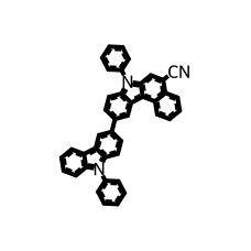 N#Cc1cc2c(c3ccccc13)c1cc(-c3ccc4c(c3)c3ccccc3n4-c3ccccc3)ccc1n2-c1ccccc1